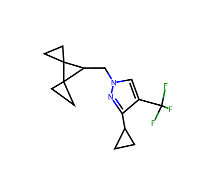 FC(F)(F)c1cn(CC2C3(CC3)C23CC3)nc1C1CC1